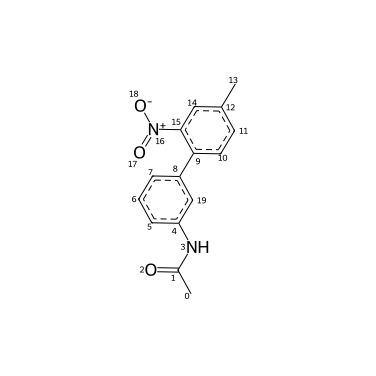 CC(=O)Nc1cccc(-c2ccc(C)cc2[N+](=O)[O-])c1